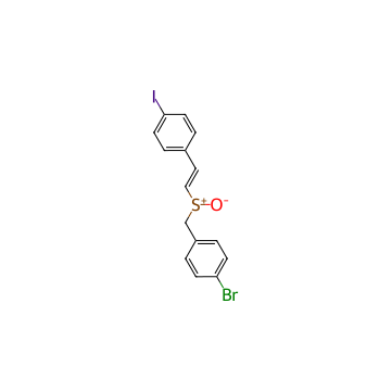 [O-][S+](C=Cc1ccc(I)cc1)Cc1ccc(Br)cc1